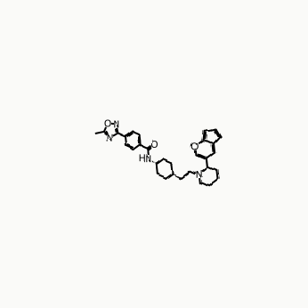 Cc1nc(-c2ccc(C(=O)N[C@H]3CC[C@H](CCN4CCCCC4c4coc5cccc-5c4)CC3)cc2)no1